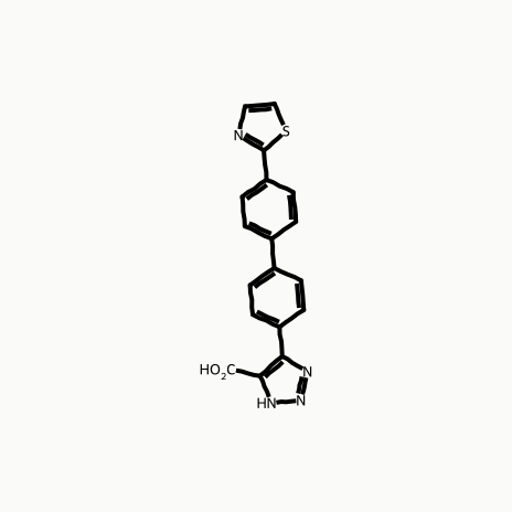 O=C(O)c1[nH]nnc1-c1ccc(-c2ccc(-c3nccs3)cc2)cc1